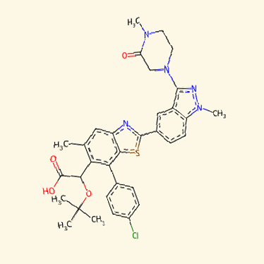 Cc1cc2nc(-c3ccc4c(c3)c(N3CCN(C)C(=O)C3)nn4C)sc2c(-c2ccc(Cl)cc2)c1C(OC(C)(C)C)C(=O)O